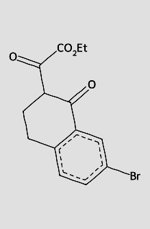 CCOC(=O)C(=O)C1CCc2ccc(Br)cc2C1=O